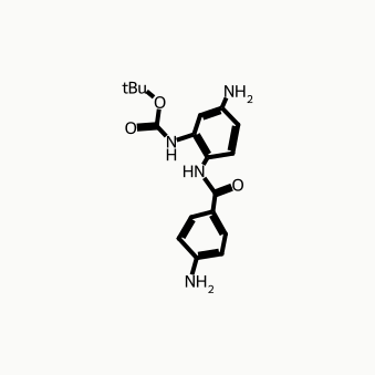 CC(C)(C)OC(=O)Nc1cc(N)ccc1NC(=O)c1ccc(N)cc1